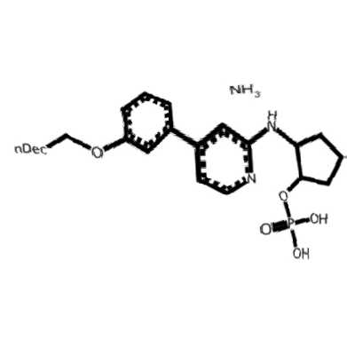 CCCCCCCCCCCOc1cccc(-c2ccnc(NC3CCCC3OP(=O)(O)O)c2)c1.N